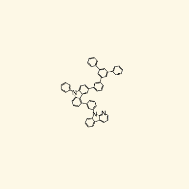 c1ccc(-c2cc(-c3ccccc3)cc(-c3cccc(-c4ccc5c(c4)c4c(-c6cccc(-n7c8ccccc8c8cccnc87)c6)cccc4n5-c4ccccc4)c3)c2)cc1